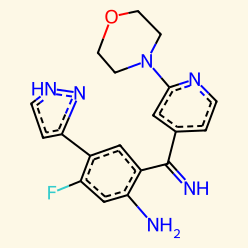 N=C(c1ccnc(N2CCOCC2)c1)c1cc(-c2cc[nH]n2)c(F)cc1N